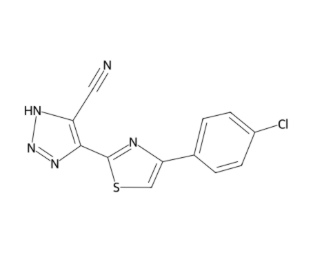 N#Cc1[nH]nnc1-c1nc(-c2ccc(Cl)cc2)cs1